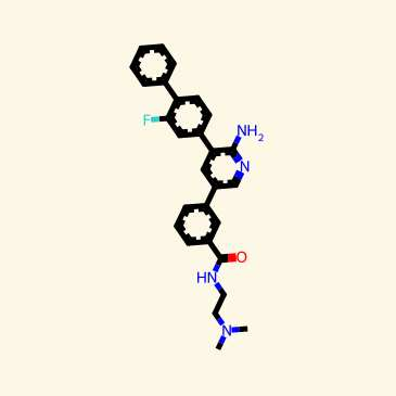 CN(C)CCNC(=O)c1cccc(-c2cnc(N)c(-c3ccc(-c4ccccc4)c(F)c3)c2)c1